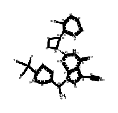 C[C@@H](c1ccc(C(F)(F)F)nc1)n1nc(C#N)c2c(=O)[nH]c([C@@H]3CC[C@H]3c3ncccc3F)nc21